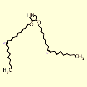 CCCCCCCC/C=C\CCCCCCCCOC1CNC[C@H]1OCCCCCCCC/C=C\CCCCCCCC